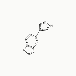 c1cc2cc(-c3cn[nH]c3)ccn2n1